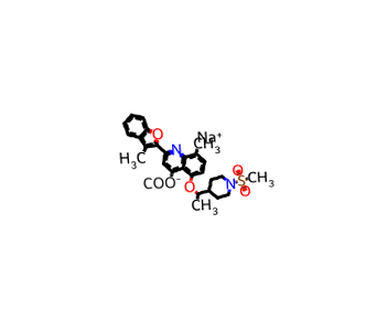 Cc1c(-c2cc(C(=O)[O-])c3c(OC(C)C4CCN(S(C)(=O)=O)CC4)ccc(C)c3n2)oc2ccccc12.[Na+]